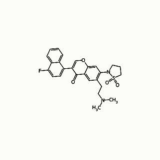 CN(C)CCc1cc2c(=O)c(-c3ccc(F)c4ccccc34)coc2cc1N1CCCS1(=O)=O